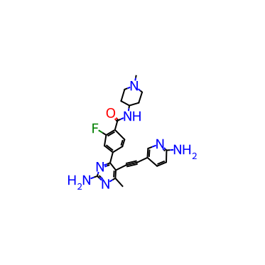 Cc1nc(N)nc(-c2ccc(C(=O)NC3CCN(C)CC3)c(F)c2)c1C#Cc1ccc(N)nc1